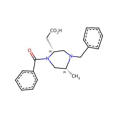 C[C@@H]1CN(C(=O)c2ccccc2)[C@H](CC(=O)O)CN1Cc1ccccc1